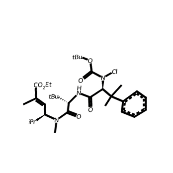 CCOC(=O)/C(C)=C/[C@H](C(C)C)N(C)C(=O)[C@@H](NC(=O)[C@@H](N(Cl)C(=O)OC(C)(C)C)C(C)(C)c1ccccc1)C(C)(C)C